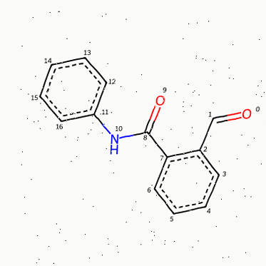 O=Cc1ccccc1C(=O)Nc1ccccc1